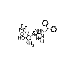 NC1C[C@@H](n2cnc3c(NCC(c4ccccc4)c4ccccc4)nc(Cl)nc32)[C@H](OC(=O)C(F)(F)F)C1O